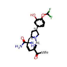 CNC(=O)C1=CNC(C[C@H]2C[C@@H](c3ccc(OC(F)F)c(O)c3)CN2C(C)=O)(C(N)=O)C=C1